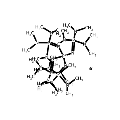 CN(C)P(=N[P+](N=P(N(C)C)(N(C)C)N(C)C)(N=P(N(C)C)(N(C)C)N(C)C)N=P(N(C)C)(N(C)C)N(C)C)(N(C)C)N(C)C.[Br-]